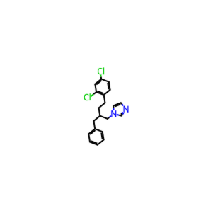 Clc1ccc(CCC(Cc2ccccc2)Cn2ccnc2)c(Cl)c1